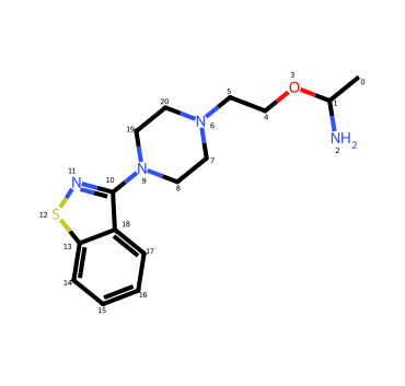 CC(N)OCCN1CCN(c2nsc3ccccc23)CC1